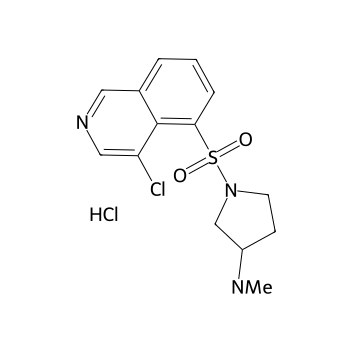 CNC1CCN(S(=O)(=O)c2cccc3cncc(Cl)c23)C1.Cl